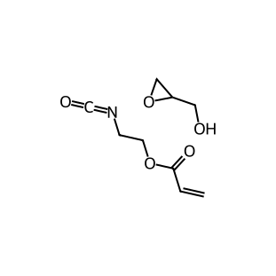 C=CC(=O)OCCN=C=O.OCC1CO1